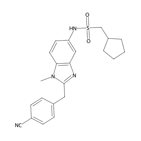 Cn1c(Cc2ccc(C#N)cc2)nc2cc(NS(=O)(=O)CC3CCCC3)ccc21